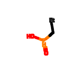 CCC[PH](=O)O